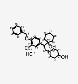 Cl.OC1CCN(CC(c2ccc(OCc3ccccc3)c(Cl)c2)C2(O)CCCCC2)CC1